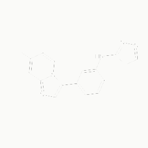 Cc1ccn2c(-c3cccc(Nc4nncs4)c3)cnc2c1.Cl